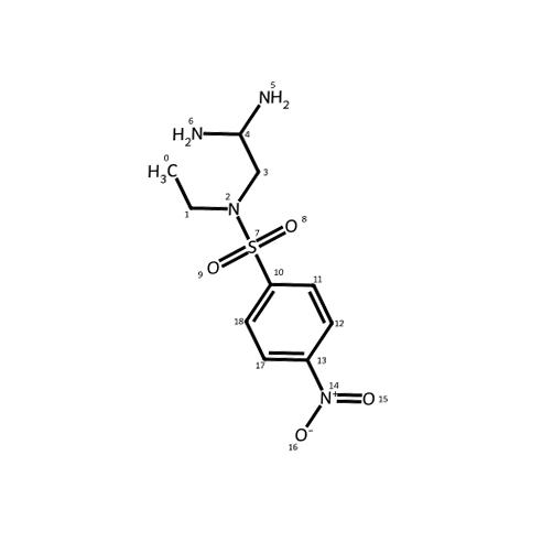 CCN(CC(N)N)S(=O)(=O)c1ccc([N+](=O)[O-])cc1